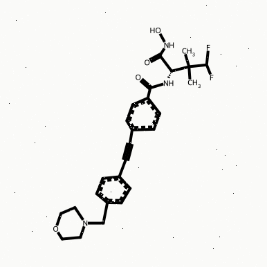 CC(C)(C(F)F)[C@H](NC(=O)c1ccc(C#Cc2ccc(CN3CCOCC3)cc2)cc1)C(=O)NO